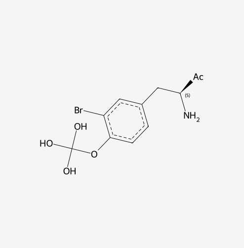 CC(=O)[C@@H](N)Cc1ccc(OC(O)(O)O)c(Br)c1